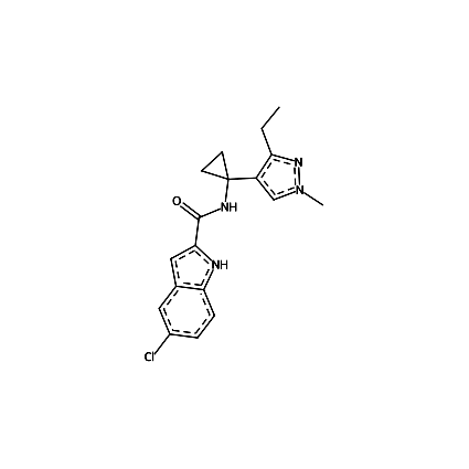 CCc1nn(C)cc1C1(NC(=O)c2cc3cc(Cl)ccc3[nH]2)CC1